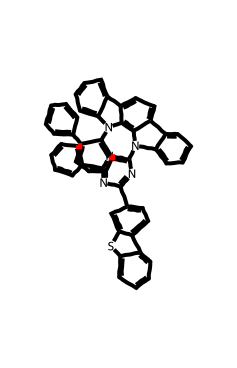 c1ccc(-c2nc(-c3ccc4c(c3)sc3ccccc34)nc(-n3c4ccccc4c4ccc5c6ccccc6n(-c6ccccc6-c6ccccc6)c5c43)n2)cc1